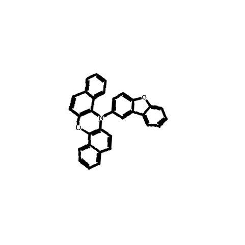 c1ccc2c3c(ccc2c1)N(c1ccc2oc4ccccc4c2c1)c1c(ccc2ccccc12)O3